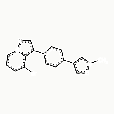 Cn1cc(-c2ccc(-c3cnn4cccc(Br)c34)cc2)cn1